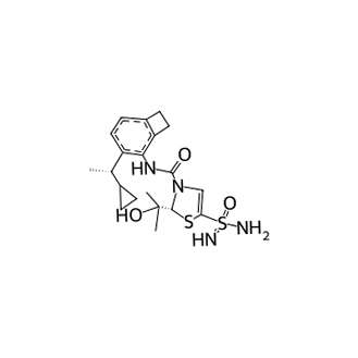 C[C@H](c1ccc2c(c1NC(=O)N1C=C(S(=N)(N)=O)S[C@@H]1C(C)(C)O)CC2)C1CC1